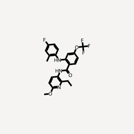 CCc1nc(OC)ccc1NC(=O)c1ccc(OC(F)(F)F)cc1Nc1ccc(F)cc1C